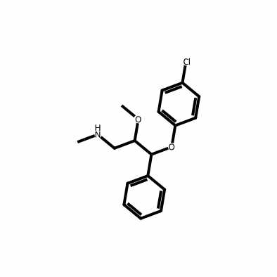 CNCC(OC)C(Oc1ccc(Cl)cc1)c1ccccc1